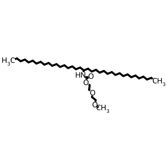 CCCCCCCCCCCCCCCCCCC(CCCCCCCCCCCCCCCCCC)NC(=O)OCCOCCOC